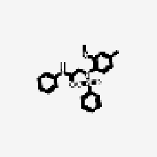 COc1cc(C)ccc1N(CC(=O)Nc1ccccc1)S(=O)(=O)c1ccccc1